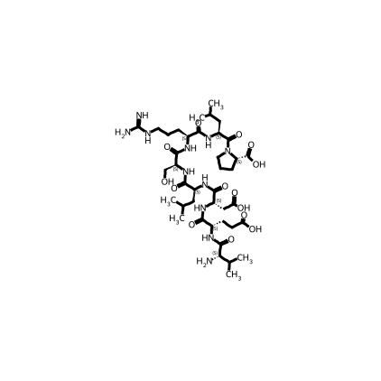 CC(C)C[C@H](NC(=O)[C@H](CC(=O)O)NC(=O)[C@H](CCC(=O)O)NC(=O)[C@@H](N)C(C)C)C(=O)N[C@@H](CO)C(=O)N[C@@H](CCCNC(=N)N)C(=O)N[C@@H](CC(C)C)C(=O)N1CCC[C@H]1C(=O)O